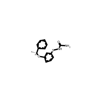 C[C@@H](Oc1cccc(SNC(N)=O)c1)c1ccccc1